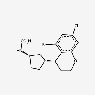 O=C(O)N[C@@H]1CCN([C@@H]2CCOc3cc(Cl)cc(Br)c32)C1